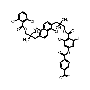 CC(C)(COC(=O)c1c(Cl)c[c]cc1Cl)Cc1ccc2c(Cl)c(CC(C)(C)COC(=O)c3c(Cl)cc(OC(=O)c4ccc(C([O])=O)cc4)cc3Cl)ccc2c1Cl